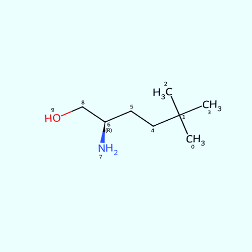 CC(C)(C)CC[C@@H](N)CO